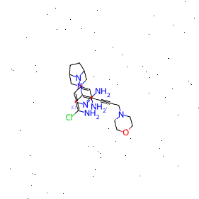 NC(N)=C(/C=C(\N)Cl)N1CC2CCC(C1)N2c1ccnc(C#CCN2CCOCC2)c1